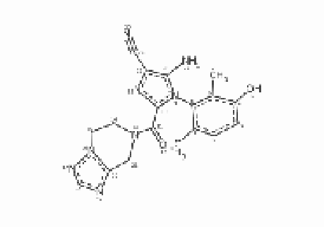 Cc1ccc(O)c(C)c1-n1c(C(=O)N2CCn3ncnc3C2)nc(C#N)c1N